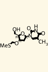 CSCO[C@H]1C[C@H](n2cc(C)c(=O)[nH]c2=O)O[C@@H]1CO